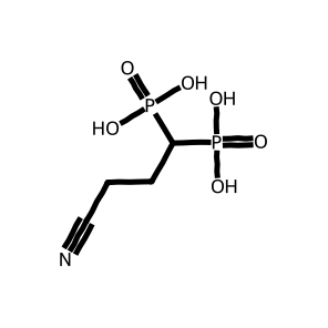 N#CCCC(P(=O)(O)O)P(=O)(O)O